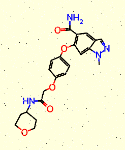 Cn1ncc2cc(C(N)=O)c(Oc3ccc(OCC(=O)NC4CCOCC4)cc3)cc21